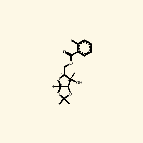 CC1(C)OC2[C@@H](O[C@@H](COC(=O)c3ccccc3I)[C@]2(C)O)O1